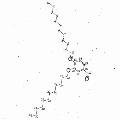 CCCCCCCCCCCCOc1ccc(C=O)cc1OCCCCCCCCCCCC